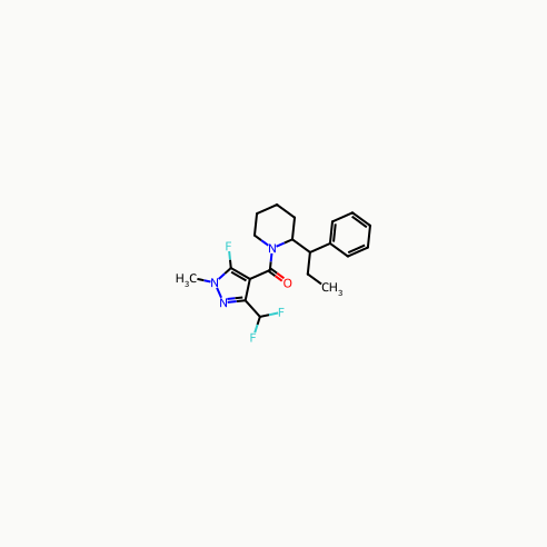 CCC(c1ccccc1)C1CCCCN1C(=O)c1c(C(F)F)nn(C)c1F